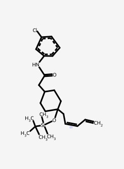 C=C/C=C\CC1(O[Si](C)(C)C(C)(C)C)CCC(CC(=O)Nc2cccc(Cl)c2)CC1